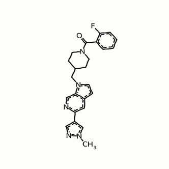 Cn1cc(-c2cc3ccn(CC4CCN(C(=O)c5ccccc5F)CC4)c3cn2)cn1